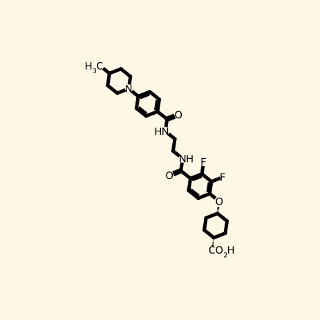 CC1CCN(c2ccc(C(=O)NCCNC(=O)c3ccc(O[C@H]4CC[C@@H](C(=O)O)CC4)c(F)c3F)cc2)CC1